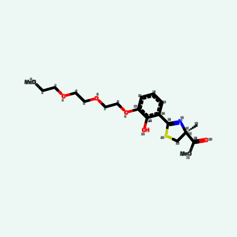 COCCOCCOCCOc1cccc(C2=N[C@@](C)(C(=O)OC)CS2)c1O